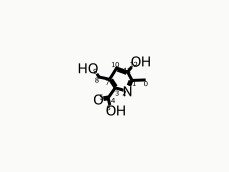 Cc1nc(C(=O)O)c(CO)cc1O